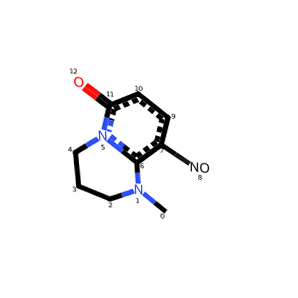 CN1CCCn2c1c(N=O)ccc2=O